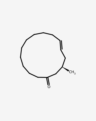 C[C@@H]1C/C=C/CCCCCCCCCC(=O)C1